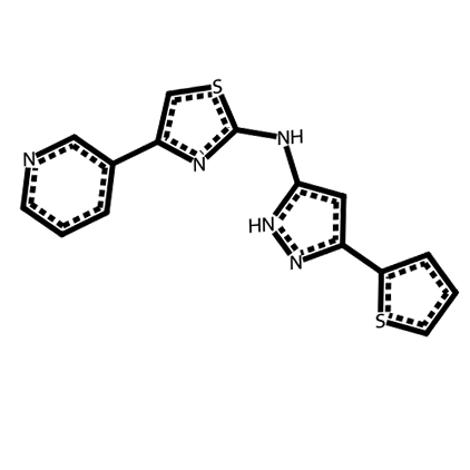 c1cncc(-c2csc(Nc3cc(-c4cccs4)n[nH]3)n2)c1